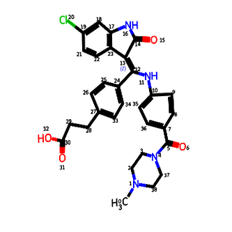 CN1CCN(C(=O)c2ccc(N/C(=C3\C(=O)Nc4cc(Cl)ccc43)c3ccc(CCC(=O)O)cc3)cc2)CC1